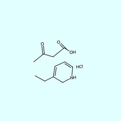 CC(=O)CC(=O)O.CCC1=CC=CNC1.Cl